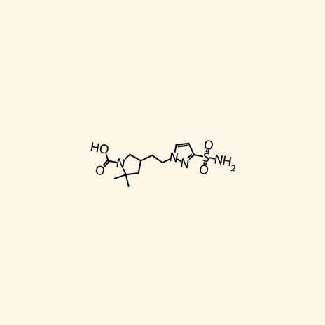 CC1(C)CC(CCn2ccc(S(N)(=O)=O)n2)CN1C(=O)O